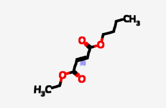 CCCCOC(=O)/C=C/C(=O)OCC